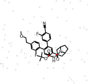 COCCc1ccc(-c2ccc(C(=O)N3C4CCC3CC(NC(=O)OC(C)(C)C)C4)cc2-c2ccc(C#N)c(F)c2)c(F)c1